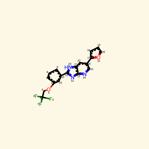 FC(F)(F)COc1cccc(-c2nc3ncc(-c4ccco4)cc3[nH]2)c1